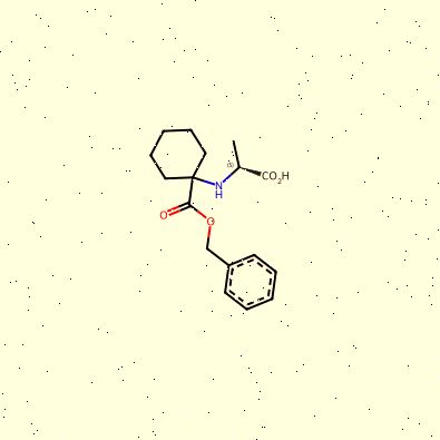 C[C@H](NC1(C(=O)OCc2ccccc2)CCCCC1)C(=O)O